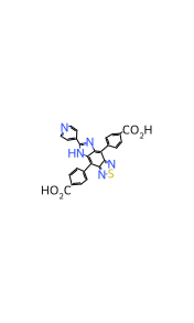 O=C(O)c1ccc(-c2c3nsnc3c(-c3ccc(C(=O)O)cc3)c3[nH]c(-c4ccncc4)nc23)cc1